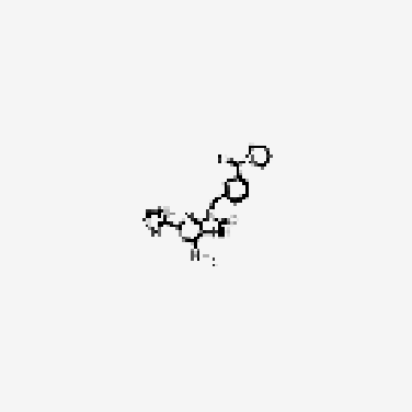 Nc1nc(-c2nnc[nH]2)nc2c1[nH]c(=O)n2Cc1cccc(C(=O)N2CCCC2)c1